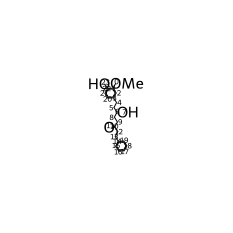 COc1cc(CCC(O)CCC(=O)CCc2ccccc2)ccc1O